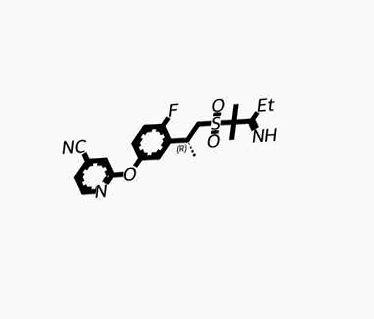 CCC(=N)C(C)(C)S(=O)(=O)C[C@H](C)c1cc(Oc2cc(C#N)ccn2)ccc1F